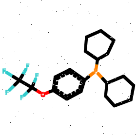 FC(F)(F)C(F)(F)Oc1ccc(P(C2CCCCC2)C2CCCCC2)cc1